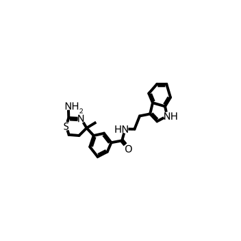 CC1(c2cccc(C(=O)NCCc3c[nH]c4ccccc34)c2)CCSC(N)=N1